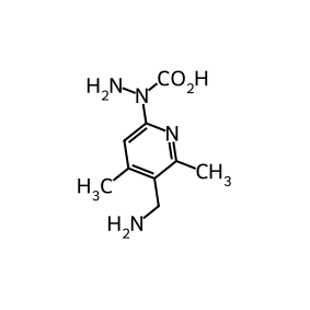 Cc1cc(N(N)C(=O)O)nc(C)c1CN